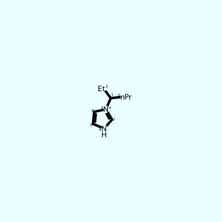 CCCC(CC)[n+]1cc[nH]c1